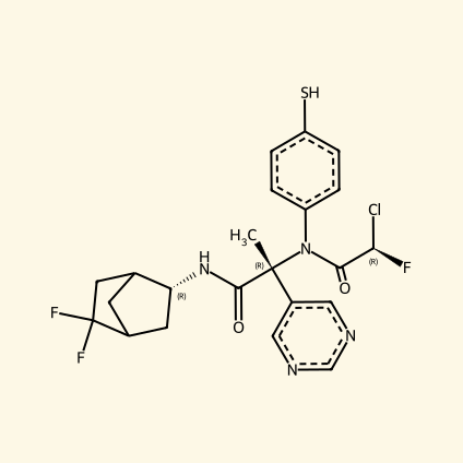 C[C@](C(=O)N[C@@H]1CC2CC1CC2(F)F)(c1cncnc1)N(C(=O)[C@H](F)Cl)c1ccc(S)cc1